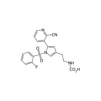 N#Cc1ncccc1-c1cc(CCNC(=O)O)cn1S(=O)(=O)c1ccccc1F